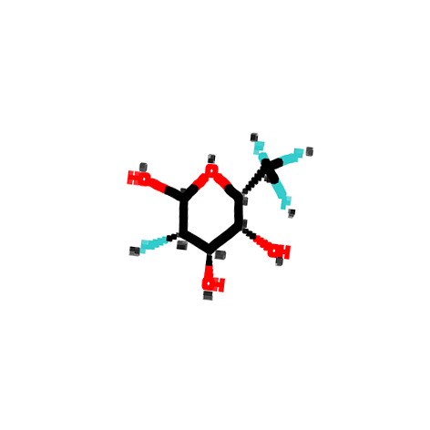 OC1O[C@H](C(F)(F)F)[C@H](O)[C@H](O)[C@@H]1F